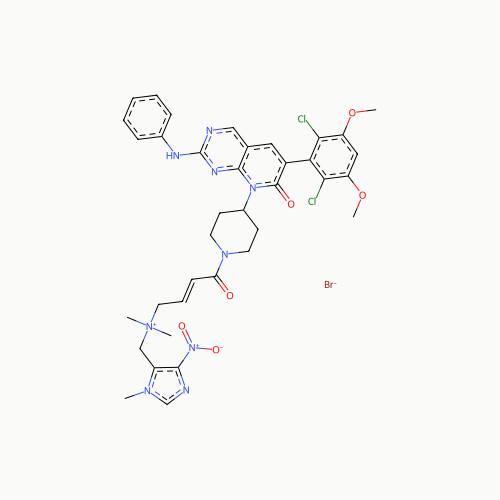 COc1cc(OC)c(Cl)c(-c2cc3cnc(Nc4ccccc4)nc3n(C3CCN(C(=O)/C=C/C[N+](C)(C)Cc4c([N+](=O)[O-])ncn4C)CC3)c2=O)c1Cl.[Br-]